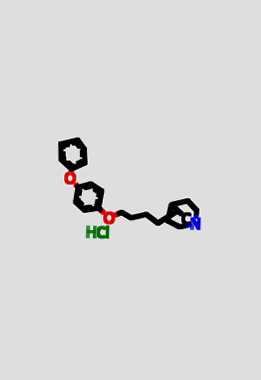 Cl.c1ccc(Oc2ccc(OCCCCC3CN4CCC3CC4)cc2)cc1